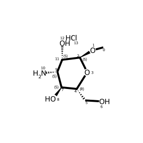 CO[C@H]1O[C@H](CO)[C@@H](O)[C@H](N)[C@@H]1O.Cl